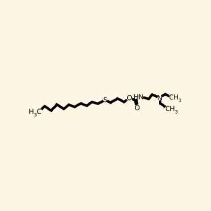 CCCCCCCCCCCSCCCOC(=O)NCCN(CC)CC